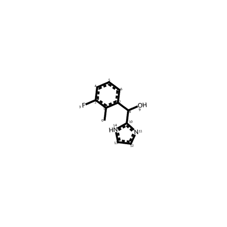 Cc1c(F)cccc1C(O)c1ncc[nH]1